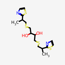 CC(CSCC(O)C(O)CSCC(C)c1nccs1)c1nccs1